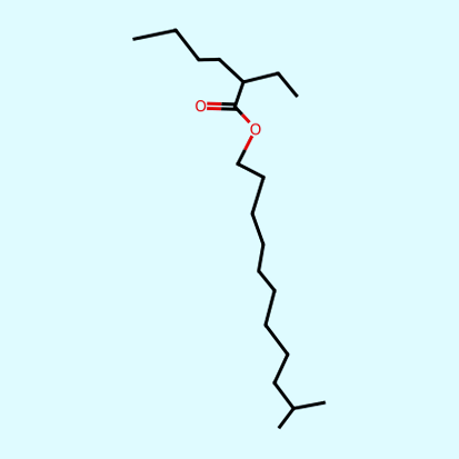 CCCCC(CC)C(=O)OCCCCCCCCCC(C)C